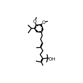 COc1cc(CC/C=C(\C)CCC(=C(C)C)C(C)(C)O)cc(C(C)C)c1OC